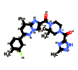 Cc1n[nH]c(C(=O)N2CCN(C(=O)c3cn4nc(-c5ccc(C)c(F)c5)cc(C(C)C)c4n3)C(C)(C)C2)n1